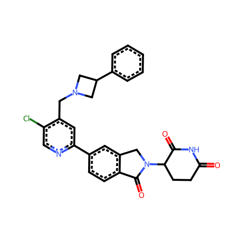 O=C1CCC(N2Cc3cc(-c4cc(CN5CC(c6ccccc6)C5)c(Cl)cn4)ccc3C2=O)C(=O)N1